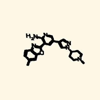 Cc1ccc2nc(-c3cc(-c4cnn(C5CCN(C)CC5)c4)cnc3N)oc2c1